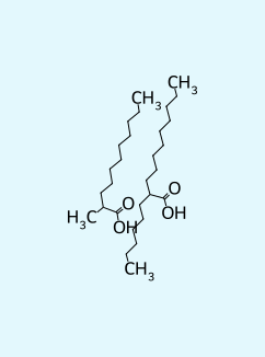 CCCCCCCCCC(C)C(=O)O.CCCCCCCCCC(CCCCCC)C(=O)O